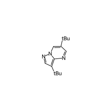 CC(C)(C)c1cnc2c(C(C)(C)C)cnn2c1